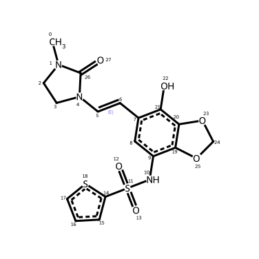 CN1CCN(/C=C/c2cc(NS(=O)(=O)c3cccs3)c3c(c2O)OCO3)C1=O